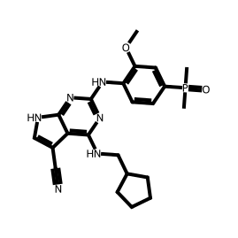 COc1cc(P(C)(C)=O)ccc1Nc1nc(NCC2CCCC2)c2c(C#N)c[nH]c2n1